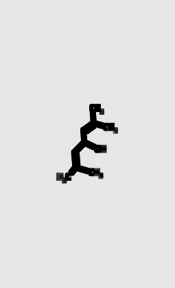 CC(C)=CC(O)C=C(C)C